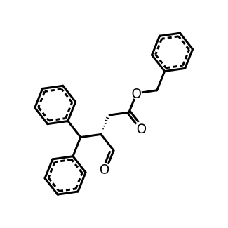 O=C[C@@H](CC(=O)OCc1ccccc1)C(c1ccccc1)c1ccccc1